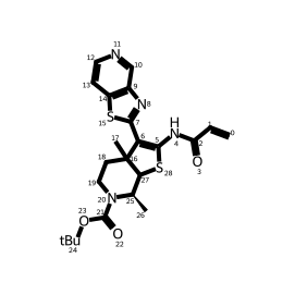 C=CC(=O)NC1=C(c2nc3cnccc3s2)C2(C)CCN(C(=O)OC(C)(C)C)[C@H](C)C2S1